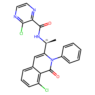 C[C@H](NC(=O)c1nccnc1Cl)c1cc2cccc(Cl)c2c(=O)n1-c1ccccc1